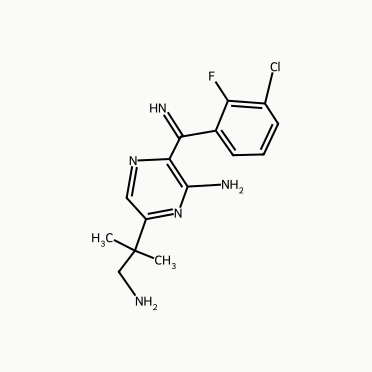 CC(C)(CN)c1cnc(C(=N)c2cccc(Cl)c2F)c(N)n1